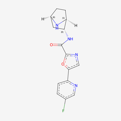 O=C(N[C@@H]1C[C@H]2CC[C@@H]1N2)c1ncc(-c2ccc(F)cn2)o1